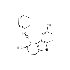 C#CC1c2c([nH]c3ccc(C)cc23)CCN1C.c1ccncc1